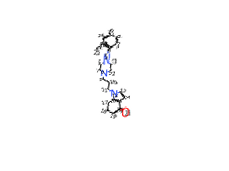 Cc1ccc(N2CCN(CCCn3ccc4c3CCCC4=O)CC2)c(C)c1